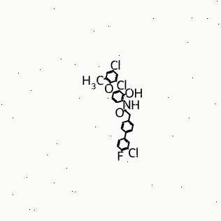 Cc1cc(Cl)cc(Cl)c1Oc1ccc(NC(=O)Cc2ccc(-c3ccc(F)c(Cl)c3)cc2)c(O)c1